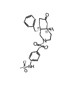 CS(=O)(=O)Nc1ccc(S(=O)(=O)N2CC[C@H]3CC(=O)CC[C@]3(Cc3ccccc3)C2)cc1